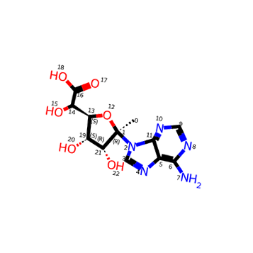 C[C@@]1(n2cnc3c(N)ncnc32)O[C@H](C(O)C(=O)O)[C@@H](O)[C@H]1O